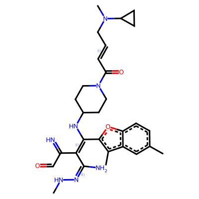 CN/N=C(N)\C(C(=N)C=O)=C(\NC1CCN(C(=O)/C=C/CN(C)C2CC2)CC1)c1oc2ccc(C)cc2c1C